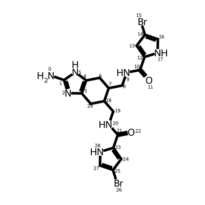 Nc1nc2c([nH]1)CC(CNC(=O)c1cc(Br)c[nH]1)C(CNC(=O)c1cc(Br)c[nH]1)C2